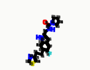 O=C(NCc1cc2cc(F)c(CCc3cscn3)cc2[nH]1)N1CCCC1